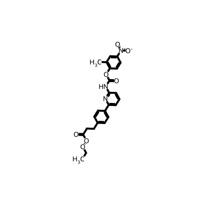 CCOOC(=O)CCc1ccc(-c2cccc(NC(=O)Oc3ccc([N+](=O)[O-])cc3C)n2)cc1